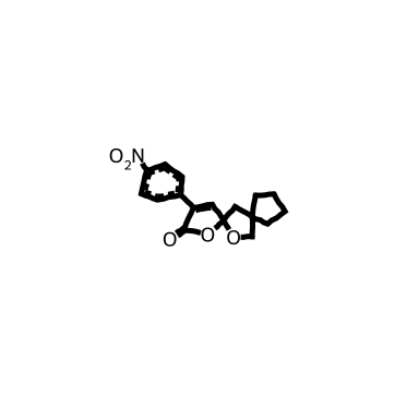 O=C1OC2(C=C1c1ccc([N+](=O)[O-])cc1)CC1(CCCC1)CO2